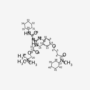 CN(C(=O)CCCOc1ccc2c(c1)CN(CC(=O)OCC(C)(C)C)C(NC(=O)NC1CCCCC1)=N2)C1CCCCC1